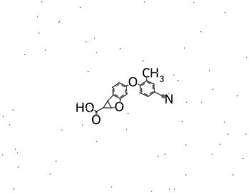 Cc1cc(C#N)ccc1Oc1ccc2c(c1)OC1C(C(=O)O)C21